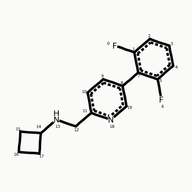 Fc1cccc(F)c1-c1ccc(CNC2CCC2)nc1